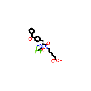 O=C(O)CCCCCNC(=O)[C@H](Cc1ccc(C(=O)c2ccccc2)cc1)NC(=O)C(F)(F)F